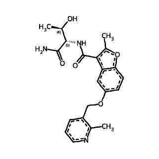 Cc1ncccc1COc1ccc2oc(C)c(C(=O)N[C@H](C(N)=O)[C@@H](C)O)c2c1